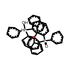 O=P(c1ccccc1)(c1ccccc1)c1ccc2ccccc2c1C1=C([PH](O)(c2ccccc2)c2ccccc2)C=CC2C=CC=CC12